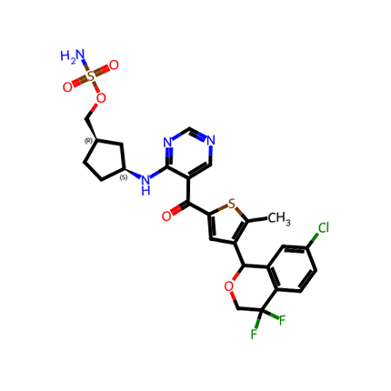 Cc1sc(C(=O)c2cncnc2N[C@H]2CC[C@@H](COS(N)(=O)=O)C2)cc1C1OCC(F)(F)c2ccc(Cl)cc21